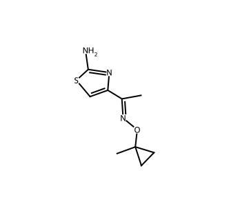 C/C(=N\OC1(C)CC1)c1csc(N)n1